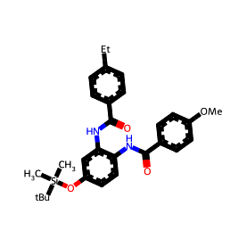 CCc1ccc(C(=O)Nc2cc(O[Si](C)(C)C(C)(C)C)ccc2NC(=O)c2ccc(OC)cc2)cc1